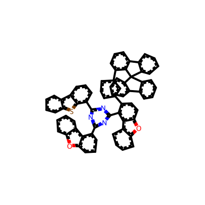 c1cc(-c2cccc3c2C2(c4ccccc4-c4ccccc42)c2ccccc2-3)cc(-c2ccc3oc4ccccc4c3c2-c2nc(-c3cccc4c3sc3ccccc34)nc(-c3cccc4oc5ccccc5c34)n2)c1